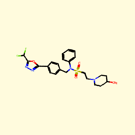 O=S(=O)(CCN1CCC(O)CC1)N(Cc1ccc(-c2nnc(C(F)F)o2)cc1)c1ccccc1